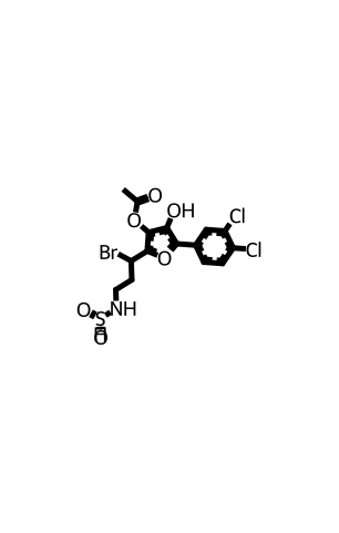 CC(=O)Oc1c(C(Br)CCN[SH](=O)=O)oc(-c2ccc(Cl)c(Cl)c2)c1O